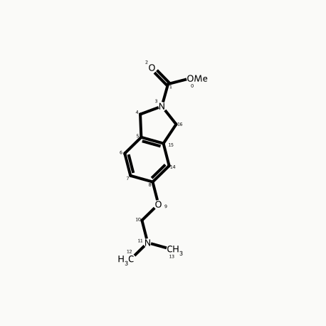 COC(=O)N1Cc2ccc(OCN(C)C)cc2C1